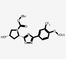 CCCCCCCCOc1ccc(-c2noc([C@@H]3C[C@H](O)CN3C(=O)OC(C)(C)C)n2)cc1C(F)(F)F